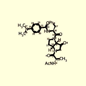 CC(=O)N[C@@H](C)C(=O)N1CC(=O)[C@@H]2[C@H]1CCN2C(=O)[C@H](CC(C)C)NC(=O)c1ccc(N(C)C)cc1